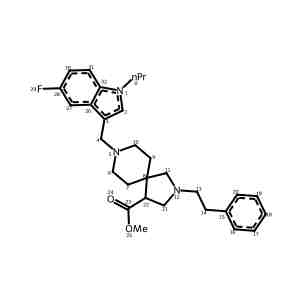 CCCn1cc(CN2CCC3(CC2)CN(CCc2ccccc2)CC3C(=O)OC)c2cc(F)ccc21